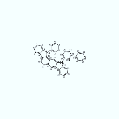 c1ccc(-n2c3ccccc3c3ccc4cc5c6ccccc6n(-c6cccc(-c7ccncc7)n6)c5cc4c32)cc1